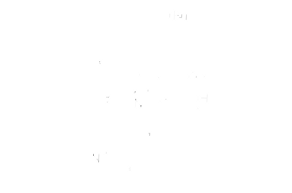 CC(C)(C)OC(=O)N1C2(C)CNCC1(C)C(O)C2